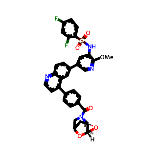 COc1ncc(-c2ccc3nccc(-c4ccc(C(=O)N5CC6C[C@@]57O[C@@H]7O6)cc4)c3c2)cc1NS(=O)(=O)c1ccc(F)cc1F